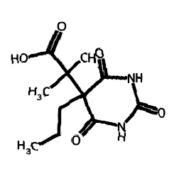 CCCC1(C(C)(C)C(=O)O)C(=O)NC(=O)NC1=O